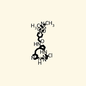 Cc1nc(C)c(S(=O)(=O)N2CCC(CC(=O)Nc3ccc4cc3CCc3cncc(c3)Nc3ncc(Cl)c(n3)N4)CC2)s1